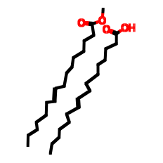 CCCCCCC=CCCCCCCCC(=O)O.CCCCCCC=CCCCCCCCC(=O)OC